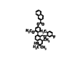 COc1cc(OC(=O)c2ccc3ccccc3c2)ccc1-c1ccc2c(c1COc1cc(F)ccc1C)C(C)=CC(C)(C)N2